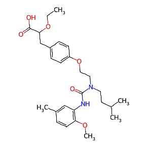 CCOC(Cc1ccc(OCCN(CCC(C)C)C(=O)Nc2cc(C)ccc2OC)cc1)C(=O)O